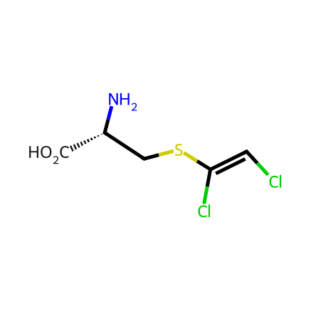 N[C@H](CSC(Cl)=CCl)C(=O)O